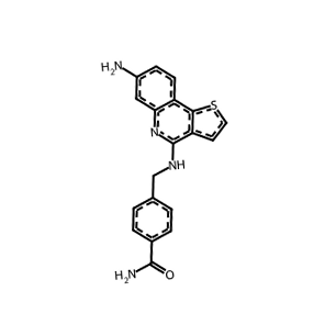 NC(=O)c1ccc(CNc2nc3cc(N)ccc3c3sccc23)cc1